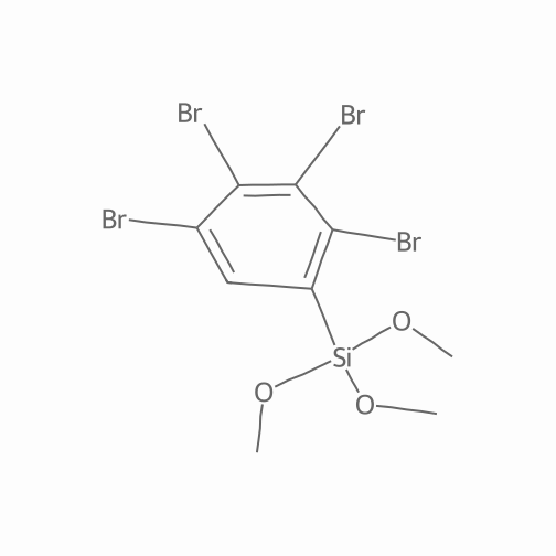 CO[Si](OC)(OC)c1cc(Br)c(Br)c(Br)c1Br